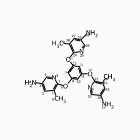 Cc1cc(N)cnc1Oc1cc(Oc2ncc(N)cc2C)cc(Oc2ncc(N)cc2C)c1